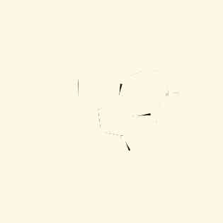 CCCCCOC[C@H]1O[C@H](OC(C)=O)[C@H](OCCCCC)[C@@H]1OCCCCC